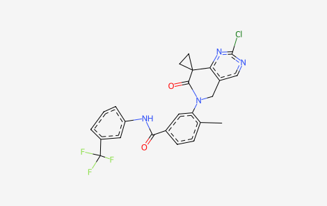 Cc1ccc(C(=O)Nc2cccc(C(F)(F)F)c2)cc1N1Cc2cnc(Cl)nc2C2(CC2)C1=O